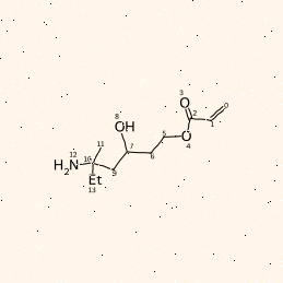 C=CC(=O)OCCC(O)CC(C)(N)CC